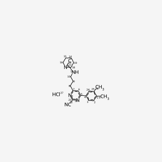 Cc1ccc(-c2cc(CCCNC3CC4CCN3CC4)nc(C#N)n2)cc1C.Cl